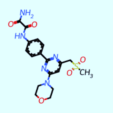 CS(=O)(=O)Cc1cc(N2CCOCC2)nc(-c2ccc(NC(=O)C(N)=O)cc2)n1